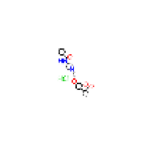 Cl.O=C(NC1CCN(CCCOc2ccc3c4c(c(=O)oc3c2)CCC4)CC1)c1ccccc1